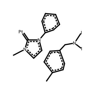 Cc1ccc(CN(I)I)cc1.Cn1ccn(-c2ccccc2)[c]1=[Pt]